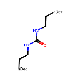 CCCCCCCCCCCCNC(=O)NCCCCCCCCCCCC